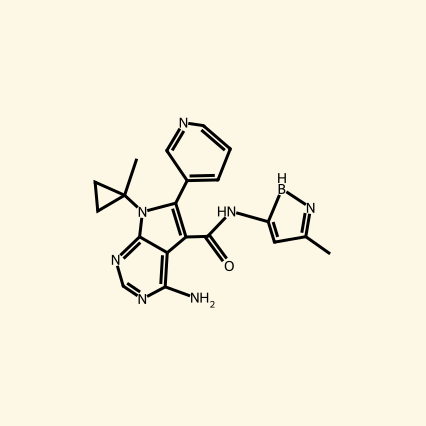 CC1=NBC(NC(=O)c2c(-c3cccnc3)n(C3(C)CC3)c3ncnc(N)c23)=C1